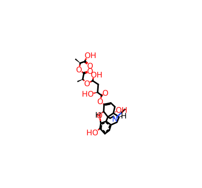 C[C@H](OC(=O)[C@H](C)OC(O)C[C@H](O)C(=O)OC1=CC[C@@]2(O)[C@H]3Cc4ccc(O)c5c4C2(CCN3C)[C@H]1O5)C(=O)O